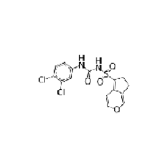 O=C(Nc1ccc(Cl)c(Cl)c1)NS(=O)(=O)C1=C2C=COC=C2CC1